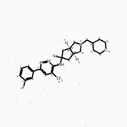 [2H]C1(Nc2nnc(-c3cccc(F)c3)cc2C(F)(F)F)C[C@H]2CN(CC3CCOCC3)C[C@H]2C1